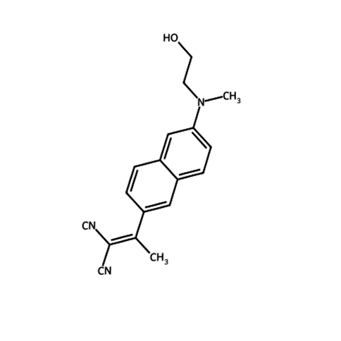 [C-]#[N+]/C(C#N)=C(/C)c1ccc2cc(N(C)CCO)ccc2c1